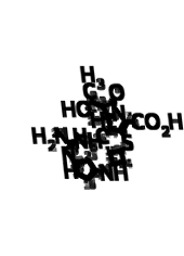 C[C@@H](O)[C@H]1C(=O)N2C(C(=O)O)=C(SC3CC(N[C@H]4CC[C@H](NC(=N)N)C4)C3)[C@H](C)[C@H]12